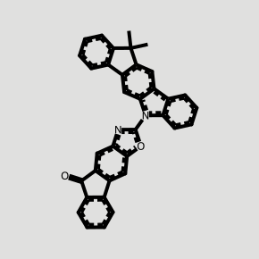 CC1(C)c2ccccc2-c2cc3c(cc21)c1ccccc1n3-c1nc2cc3c(cc2o1)-c1ccccc1C3=O